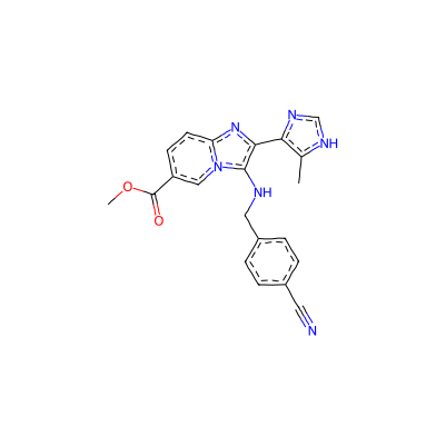 COC(=O)c1ccc2nc(-c3nc[nH]c3C)c(NCc3ccc(C#N)cc3)n2c1